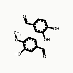 COc1ccc(C=O)cc1O.O=Cc1ccc(O)c(O)c1